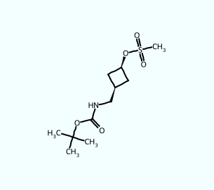 CC(C)(C)OC(=O)NC[C@H]1C[C@@H](OS(C)(=O)=O)C1